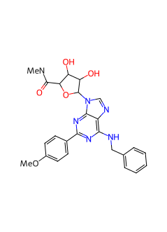 CNC(=O)C1OC(n2cnc3c(NCc4ccccc4)nc(-c4ccc(OC)cc4)nc32)C(O)C1O